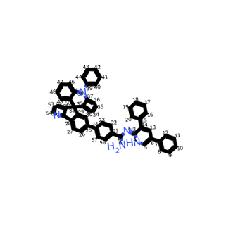 NC(/N=c1\[nH]cc(-c2ccccc2)cc1-c1ccccc1)c1ccc(-c2ccc3c(c2)C2(c4ccccc4N(c4ccccc4)c4ccccc42)c2cccnc2-3)cc1